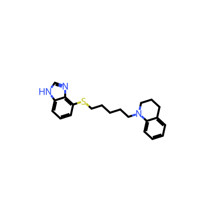 c1ccc2c(c1)CCCN2CCCCCSc1cccc2[nH]cnc12